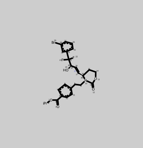 CC(C)OC(=O)c1ccc(CCN2C(=O)OCC[C@@H]2/C=C/[C@@H](O)C(F)(F)c2cccc(Br)c2)cc1